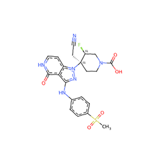 CS(=O)(=O)c1ccc(Nc2nn([C@]3(CC#N)CCN(C(=O)O)C[C@@H]3F)c3cc[nH]c(=O)c23)cc1